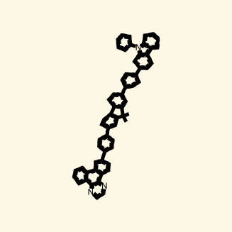 CC1(C)c2cc(-c3ccc(-c4ccc5c(c4)c4ccccc4c4nccnc54)cc3)ccc2-c2ccc(-c3ccc(-c4ccc5c6ccccc6n(-c6ccccc6)c5c4)cc3)cc21